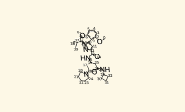 COc1cccc(OC)c1-c1cc(C(=O)N[C@@H](CCN2CCCCC2)CC(=O)NC2CCC2)nn1C(C)C(C)C